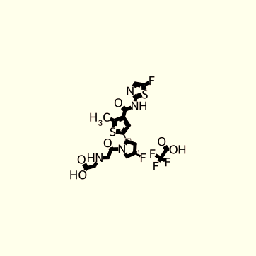 Cc1sc([C@@H]2C[C@@H](F)CN2C(=O)CNCC(=O)O)cc1C(=O)Nc1ncc(F)s1.O=C(O)C(F)(F)F